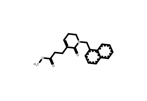 COC(=O)CCC1=CCCN(Cc2cccc3ccccc23)C1=O